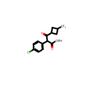 COC(=O)C(C(=O)C1CC(C(F)(F)F)C1)c1ccc(Cl)cc1